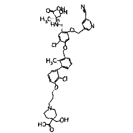 Cc1c(COc2cc(OCc3cncc(C#N)c3)c(CN[C@](C)(CO)C(=O)O)cc2Cl)cccc1-c1cccc(OCCCN2CCC(CO)(C(=O)O)CC2)c1Cl